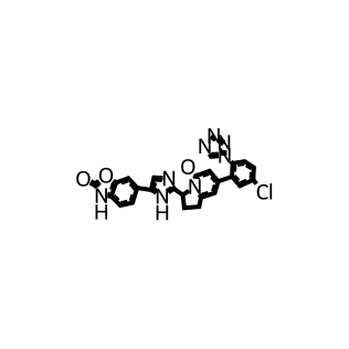 O=c1[nH]c2ccc(-c3cnc(C4CCc5cc(-c6cc(Cl)ccc6-n6cnnn6)cc(=O)n54)[nH]3)cc2o1